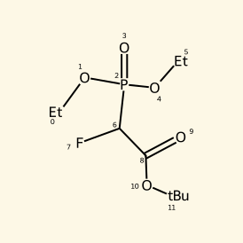 CCOP(=O)(OCC)C(F)C(=O)OC(C)(C)C